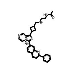 CC(=O)NCCNCC1CC(C2=C3C=NC=C[N+]3(N)C(c3ccc4ccc(-c5ccccc5)nc4c3)=N2)C1